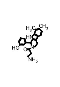 Cc1ccc2c3c([nH]c2c1C)C(c1cccc(O)c1)N(C(=O)CCN)CC3